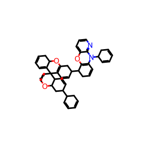 C1=CCC2OC3=C(C=CC(C4CC=CC5=C4Oc4cccnc4N5C4C=CC=CC4)C3)C3(C2=C1)C1C=CC=CC1OC1CC(C2C=CC=CC2)C=CC13